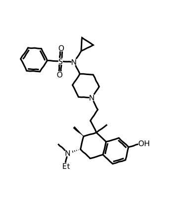 CCN(C)[C@H]1Cc2ccc(O)cc2C(C)(CCN2CCC(N(C3CC3)S(=O)(=O)c3ccccc3)CC2)[C@@H]1C